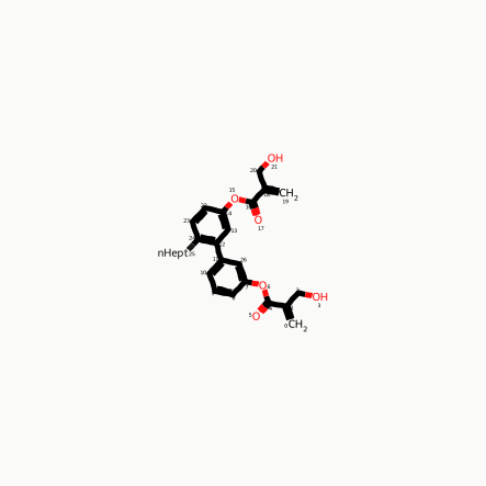 C=C(CO)C(=O)Oc1cccc(-c2cc(OC(=O)C(=C)CO)ccc2CCCCCCC)c1